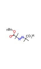 CCCCOC(=O)C(C)(C)N=NC(C)(C)C(=O)O